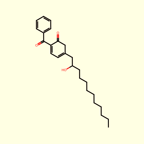 CCCCCCCCCCC(O)CC1=CC=C(C(=O)c2ccccc2)C(=O)C1